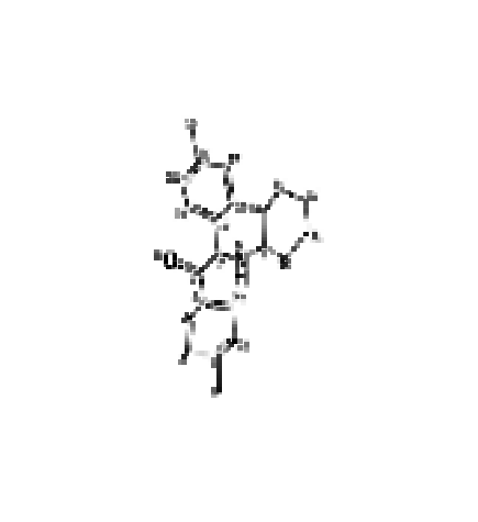 Cc1ccc(C(=O)C(NC2CCCCC2)c2ccc(C)cc2)cc1